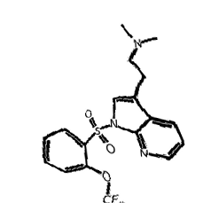 CN(C)CCc1cn(S(=O)(=O)c2ccccc2OC(F)(F)F)c2ncccc12